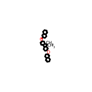 CC1(C)C2=C(CCC(OC3=CC4=C(C=CCC4)CC3)=C2)C2=CC=C(OC3=CC4=C(C=CCC4)CC3)CC21